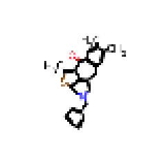 Cc1cc2c(cc1C)C(=O)c1c(C)sc3c1C(C2)CN(Cc1ccccc1)C3